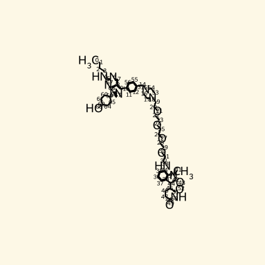 CCCCNc1ncc2c(-c3ccc(CN4CCN(CCOCCOCCOCCOCCNc5cccc6c5N(C)C(=O)C6C5CCC(=O)NC5=O)CC4)cc3)nn([C@H]3CC[C@H](O)CC3)c2n1